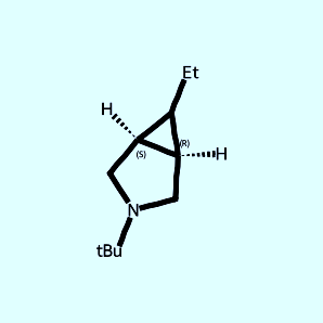 CCC1[C@H]2CN(C(C)(C)C)C[C@@H]12